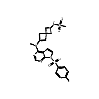 Cc1ccc(S(=O)(=O)n2ccc3c(N(C)C4CC5(CC(NS(C)(=O)=O)C5)C4)ncnc32)cc1